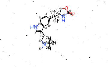 [2H]C([2H])(c1ccc2[nH]cc(CCN(C)C([2H])([2H])[2H])c2c1)[C@H]1COC(=O)N1